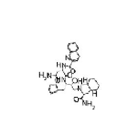 NC(=O)C[C@H](NC(=O)c1ccc2ccccc2n1)C(=O)N[C@@H](Cc1ccccc1)[C@H](O)CN1C[C@H]2CCCC[C@@H]2C[C@H]1C(N)=O